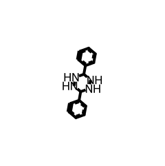 c1cccc(C2NNC(c3c#cccc3)NN2)c#1